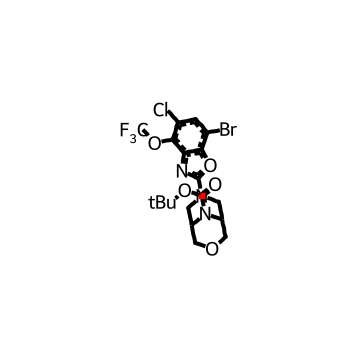 CC(C)(C)OC(=O)N1C2COCC1CN(c1nc3c(OC(F)(F)F)c(Cl)cc(Br)c3o1)C2